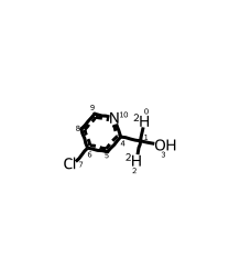 [2H]C([2H])(O)c1cc(Cl)ccn1